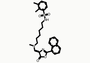 Cc1cccc(S(=O)(=O)NCCCCCCN(C)C=C2N=C(c3cccc4ccccc34)OC2=O)c1C